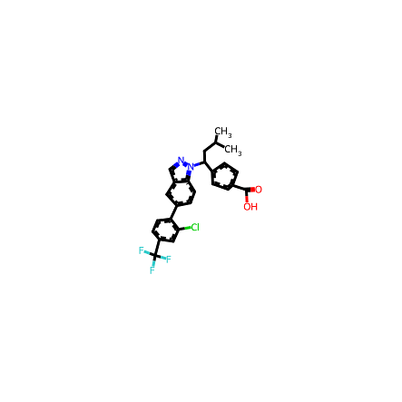 CC(C)CC(c1ccc(C(=O)O)cc1)n1ncc2cc(-c3ccc(C(F)(F)F)cc3Cl)ccc21